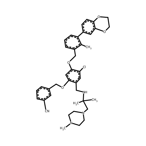 Cc1c(COc2cc(OCc3cccc(C#N)c3)c(CNC(C)(C)CN3CCN(C)CC3)cc2Cl)cccc1-c1ccc2c(c1)OCCO2